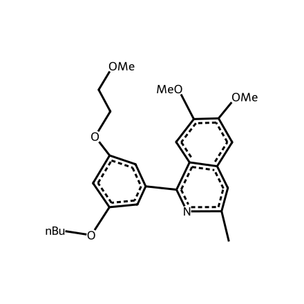 CCCCOc1cc(OCCOC)cc(-c2nc(C)cc3cc(OC)c(OC)cc23)c1